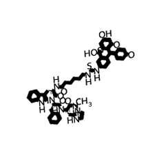 CNC(=O)[C@H](Cc1ncc[nH]1)NC(=O)[C@H](Cc1ccccc1)NC(=O)[C@H](Cc1c[nH]c2ccccc12)NC(=O)CCCCCNC(=S)Nc1ccc(-c2c3ccc(=O)cc-3oc3cc(O)ccc23)c(C(=O)O)c1